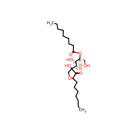 CCCCCCCCC(=O)O[C@H](CO)[C@@H](O)[C@H](O)[C@@](O)(CO)C(=O)CCCCCCCC